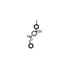 O=C(OCc1ccccc1)N1CCC(O)(c2ccc(F)cc2)CC1